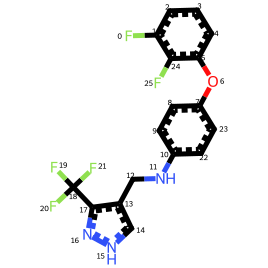 Fc1cccc(Oc2ccc(NCc3c[nH]nc3C(F)(F)F)cc2)c1F